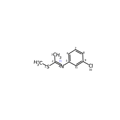 CS/C(C)=N/c1cccc(Cl)c1